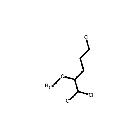 [SiH3]OC(CCCCl)C(Cl)Cl